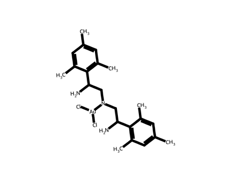 Cc1cc(C)c(C(N)C[N](CC(N)c2c(C)cc(C)cc2C)[Au]([Cl])[Cl])c(C)c1